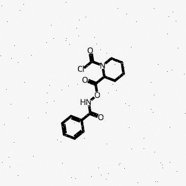 O=C(NOC(=O)C1CCCCN1C(=O)Cl)c1ccccc1